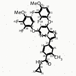 COc1ccc(Oc2cc(Oc3ccc(OC)c(F)c3F)c3ncc(-c4ccc(C(=O)NC5CC5)c(C)c4)n3n2)c(F)c1F